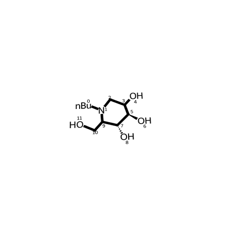 CCCCN1CC(O)[C@@H](O)[C@H](O)C1CO